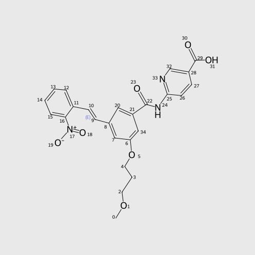 COCCCOc1cc(/C=C/c2ccccc2[N+](=O)[O-])cc(C(=O)Nc2ccc(C(=O)O)cn2)c1